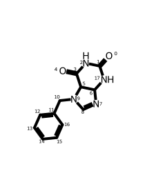 O=C1NC(=O)C2C(N=CN2Cc2ccccc2)N1